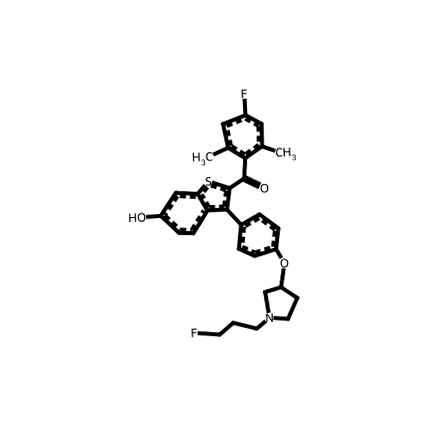 Cc1cc(F)cc(C)c1C(=O)c1sc2cc(O)ccc2c1-c1ccc(OC2CCN(CCCF)C2)cc1